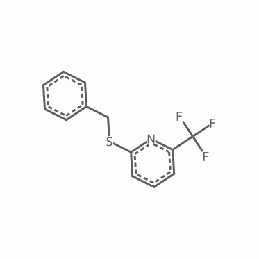 FC(F)(F)c1cccc(SCc2ccccc2)n1